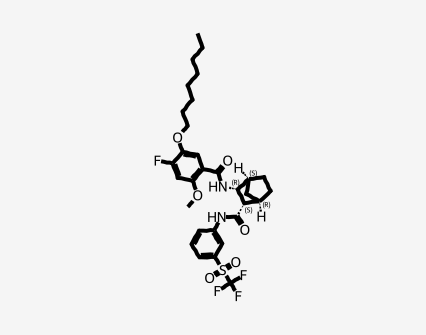 CCCCCCCCOc1cc(C(=O)N[C@@H]2[C@H]3CC[C@H](C3)[C@@H]2C(=O)Nc2cccc(S(=O)(=O)C(F)(F)F)c2)c(OC)cc1F